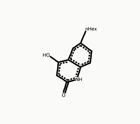 CCCCCCc1ccc2[nH]c(=O)cc(O)c2c1